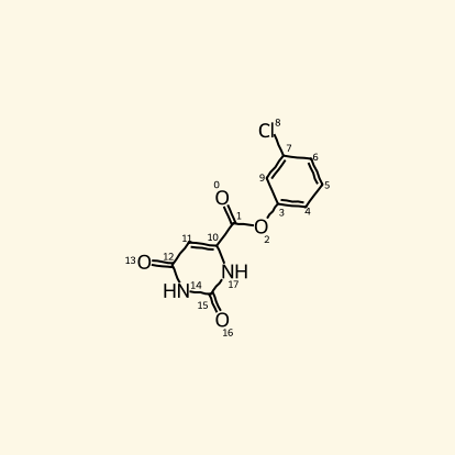 O=C(Oc1cccc(Cl)c1)c1cc(=O)[nH]c(=O)[nH]1